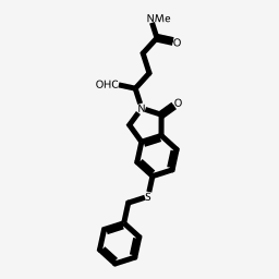 CNC(=O)CCC(C=O)N1Cc2cc(SCc3ccccc3)ccc2C1=O